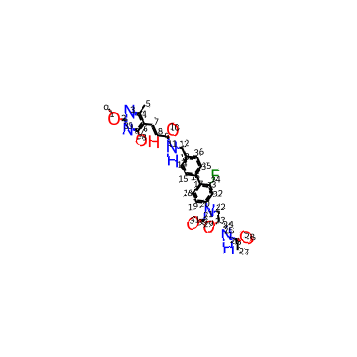 COc1nc(C)c(C=CC(=O)NCc2ccc(-c3ccc(N4C[C@H](CNC(C)=O)OC4=O)cc3F)cc2)c(O)n1